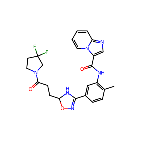 Cc1ccc(C2=NOC(CCC(=O)N3CCC(F)(F)C3)N2)cc1NC(=O)c1cnc2ccccn12